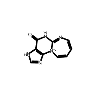 O=C1NC2=NC=CC=C[N+]2c2nc[nH]c21